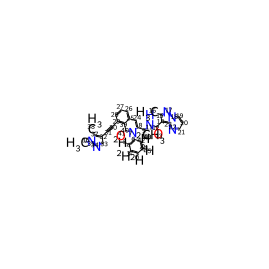 [2H]c1c([2H])c([2H])c(-n2c([C@@H](C)NC(=O)c3c(C)nn4cccnc34)cc3cccc(C#Cc4cnn(C)c4C)c3c2=O)c([2H])c1[2H]